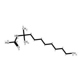 CCCCCCCCCC(C)(C)NC(=O)O